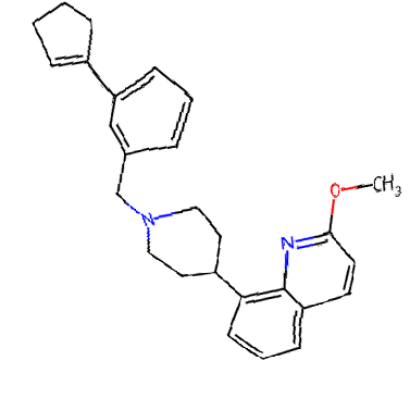 COc1ccc2cccc(C3CCN(Cc4cccc(C5=CCCC5)c4)CC3)c2n1